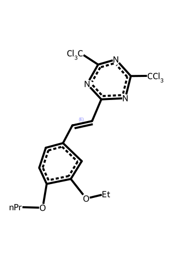 CCCOc1ccc(/C=C/c2nc(C(Cl)(Cl)Cl)nc(C(Cl)(Cl)Cl)n2)cc1OCC